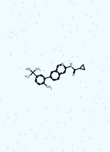 Cc1ccc(C(C)(C)O)cc1-c1ccc2cc(NC(=O)C3CC3)ncc2c1